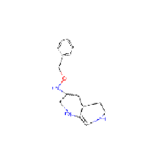 C1=C2NCC(NOCc3ccccc3)CC2CCN1